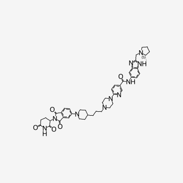 C[C@H]1CCCN1Cc1nc2cc(NC(=O)c3ccc(N4CCN(CCCC5CCN(c6ccc7c(c6)C(=O)N(C6CCC(=O)NC6=O)C7=O)CC5)CC4)nc3)ccc2[nH]1